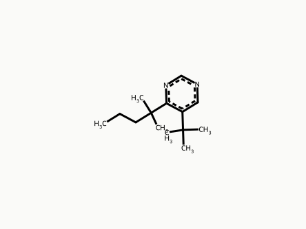 CCCC(C)(C)c1ncncc1C(C)(C)C